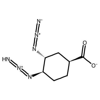 [N-]=[N+]=N[C@@H]1C[C@@H](C(=O)[O-])CC[C@H]1N=[N+]=N